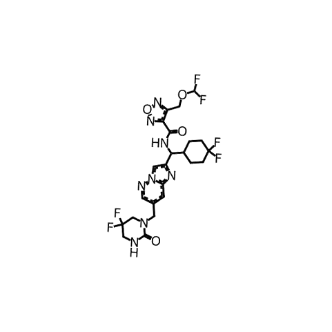 O=C(NC(c1cn2ncc(CN3CC(F)(F)CNC3=O)cc2n1)C1CCC(F)(F)CC1)c1nonc1COC(F)F